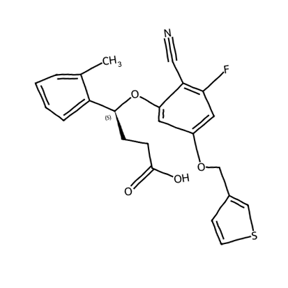 Cc1ccccc1[C@H](CCC(=O)O)Oc1cc(OCc2ccsc2)cc(F)c1C#N